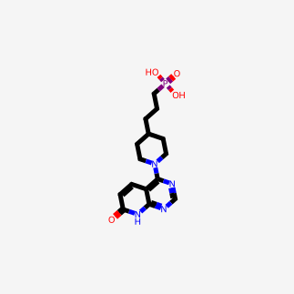 O=c1ccc2c(N3CCC(CCCP(=O)(O)O)CC3)ncnc2[nH]1